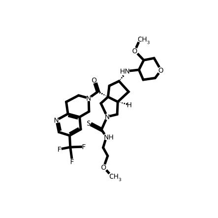 COCCNC(=S)N1C[C@@H]2C[C@@H](NC3CCOCC3OC)C[C@]2(C(=O)N2CCc3ncc(C(F)(F)F)cc3C2)C1